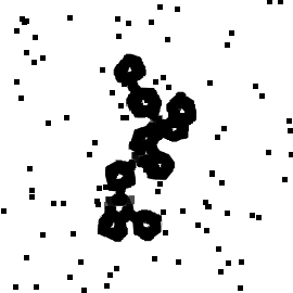 c1ccc(-c2ccc(-n3c4ccc5c(c6ccccc6n5-c5cccc(-c6nc(-c7ccccc7)c7ccccc7n6)c5)c4c4ccc5ccccc5c43)cc2)cc1